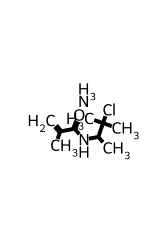 C=C(C)C(=O)NC(C)C(C)(C)Cl.N